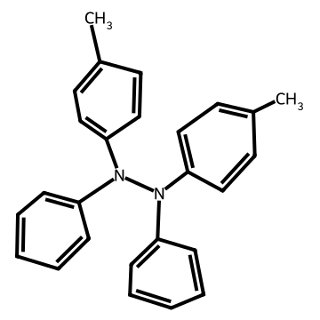 Cc1ccc(N(c2ccccc2)N(c2ccccc2)c2ccc(C)cc2)cc1